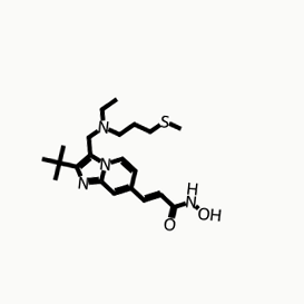 CCN(CCCSC)Cc1c(C(C)(C)C)nc2cc(/C=C/C(=O)NO)ccn12